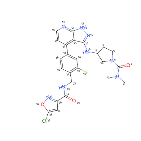 CN(C)C(=O)N1CCC(Nc2n[nH]c3nccc(-c4ccc(CNC(=O)c5cc(Cl)on5)c(F)c4)c23)C1